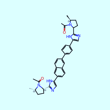 CC(=O)N1C(c2ncc(-c3ccc(-c4ccc5cc(-c6cnc([C@@H]7CC[C@H](C)N7C(C)=O)[nH]6)ccc5c4)cc3)[nH]2)CC[C@@H]1C